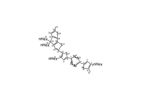 CCCCCCc1cc(-c2nnc(-c3cc(CCCCCC)c(-c4cc5c(s4)-c4sc(C)cc4C5(CCCCCC)CCCCCC)s3)nn2)sc1C